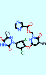 CC(C)c1cc(Oc2c(Cl)cc(-n3nc(C#N)c(=O)[nH]c3=O)cc2Cl)nn(COC(=O)c2cnccn2)c1=O